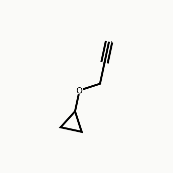 [C]#CCOC1CC1